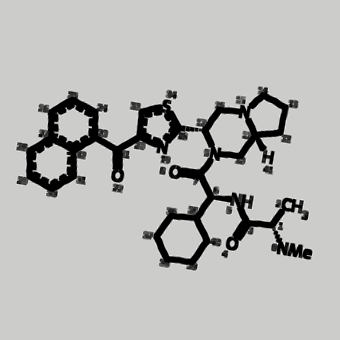 CN[C@@H](C)C(=O)N[C@H](C(=O)N1C[C@H]2CCCN2C[C@H]1c1nc(C(=O)c2cccc3ccccc23)cs1)C1CCCCC1